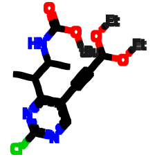 CCOC(C#Cc1cnc(Cl)nc1C(C)C(C)NC(=O)OC(C)(C)C)OCC